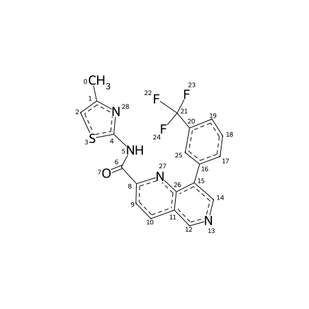 Cc1csc(NC(=O)c2ccc3cncc(-c4cccc(C(F)(F)F)c4)c3n2)n1